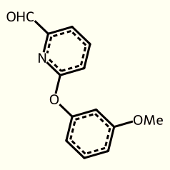 COc1cccc(Oc2cccc(C=O)n2)c1